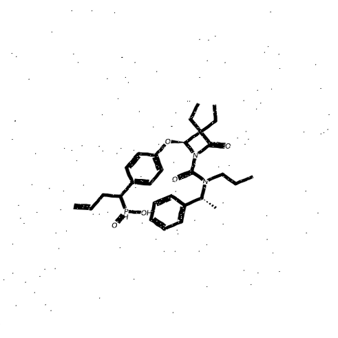 C=CCC(c1ccc(O[C@@H]2N(C(=O)N(CCC)[C@H](C)c3ccccc3)C(=O)C2(CC)CC)cc1)[PH](=O)O